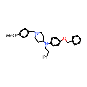 COc1ccc(CN2CCC(N(CCC(C)C)c3ccc(OCc4ccccc4)cc3)CC2)cc1